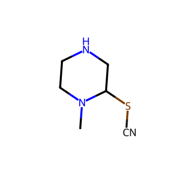 CN1CCNCC1SC#N